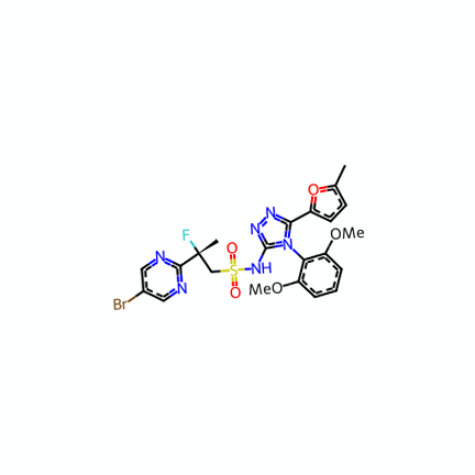 COc1cccc(OC)c1-n1c(NS(=O)(=O)C[C@@](C)(F)c2ncc(Br)cn2)nnc1-c1ccc(C)o1